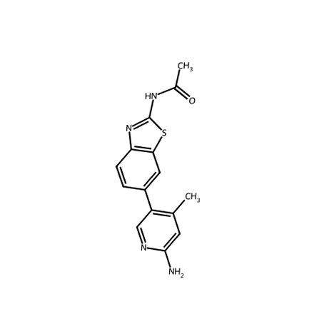 CC(=O)Nc1nc2ccc(-c3cnc(N)cc3C)cc2s1